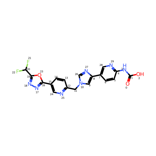 O=C(O)Nc1ccc(-c2cn(Cc3ccc(-c4nnc(C(F)F)o4)cn3)cn2)cn1